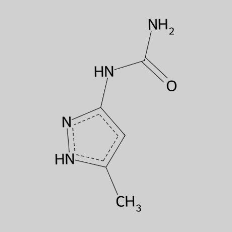 Cc1cc(NC(N)=O)n[nH]1